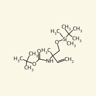 C=CC(C)(CO[Si](C)(C)C(C)(C)C)NC(=O)OC(C)(C)C